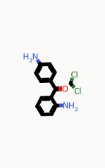 ClCCl.Nc1ccc(C(=O)c2ccccc2N)cc1